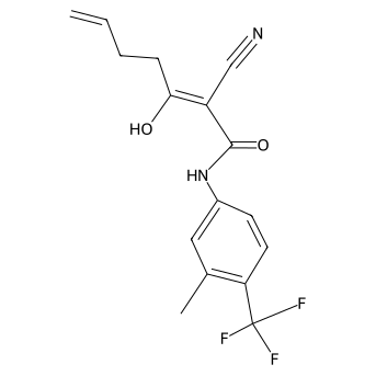 C=CCCC(O)=C(C#N)C(=O)Nc1ccc(C(F)(F)F)c(C)c1